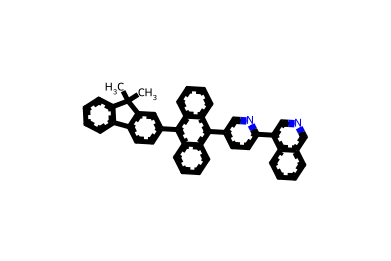 CC1(C)c2ccccc2-c2ccc(-c3c4ccccc4c(-c4ccc(-c5cncc6ccccc56)nc4)c4ccccc34)cc21